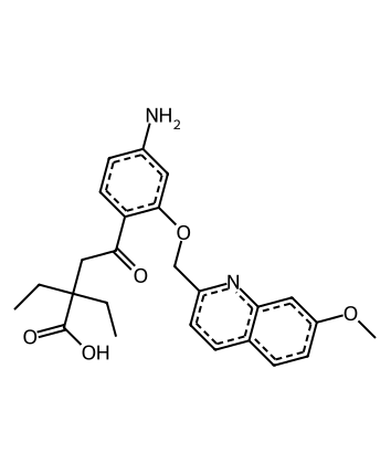 CCC(CC)(CC(=O)c1ccc(N)cc1OCc1ccc2ccc(OC)cc2n1)C(=O)O